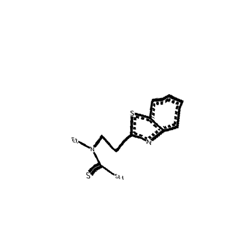 CCN(CCc1nc2ccccc2s1)C(=S)S